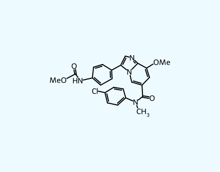 COC(=O)Nc1ccc(-c2cnc3c(OC)cc(C(=O)N(C)c4ccc(Cl)cc4)cn23)cc1